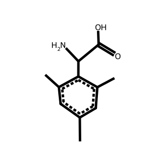 Cc1cc(C)c(C(N)C(=O)O)c(C)c1